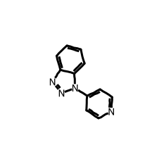 c1ccc2c(c1)nnn2-c1ccncc1